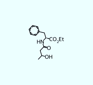 CCOC(=O)[C@H](Cc1ccccc1)NC(=O)CC(C)O